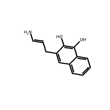 NC=CCc1cc2ccccc2c(O)c1O